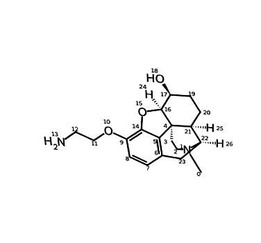 CN1CC[C@]23c4c5ccc(OCCN)c4O[C@H]2[C@@H](O)CC[C@H]3[C@H]1C5